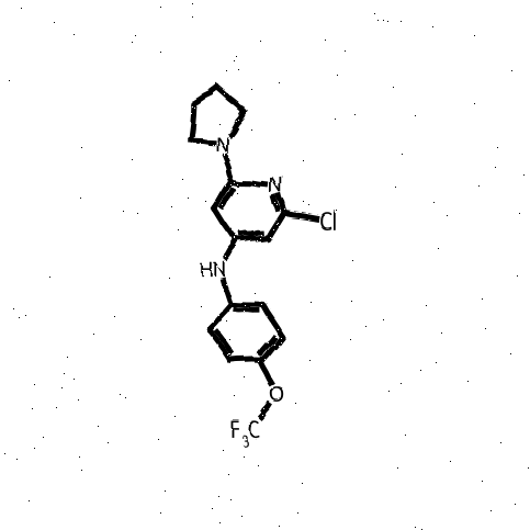 FC(F)(F)Oc1ccc(Nc2cc(Cl)nc(N3CCCC3)c2)cc1